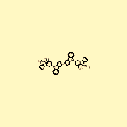 CC1(C)c2ccccc2-c2cc(-n3c4ccccc4c4cc(-c5ccc6c(c5)c5ccccc5n6-c5ccc6c(c5)-c5ccccc5C6(C)C)ccc43)ccc21